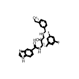 CCc1cccc(CNC[C@H](O)[C@H](Cc2cc(F)cc(F)c2)NC(=O)c2ccc3[nH]cnc3c2)c1